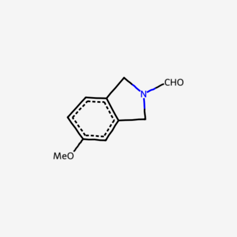 COc1ccc2c(c1)CN(C=O)C2